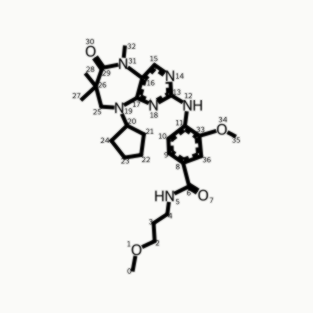 COCCCNC(=O)c1ccc(Nc2ncc3c(n2)N(C2CCCC2)CC(C)(C)C(=O)N3C)c(OC)c1